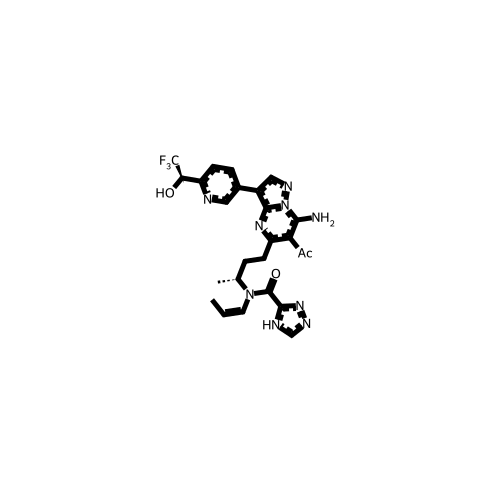 C/C=C\N(C(=O)c1nnc[nH]1)[C@H](C)CCc1nc2c(-c3ccc([C@@H](O)C(F)(F)F)nc3)cnn2c(N)c1C(C)=O